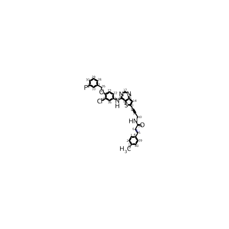 Cc1ccc(/C=C/C(=O)NCC#Cc2cc3ncnc(Nc4ccc(OCc5cccc(F)c5)c(Cl)c4)c3s2)cc1